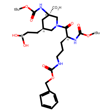 CC(C)(C)OC(=O)N[C@@H](CCCNC(=O)OCc1ccccc1)C(=O)N1C[C@@H](CCB(O)O)C[C@](NC(=O)OC(C)(C)C)(C(=O)O)C1